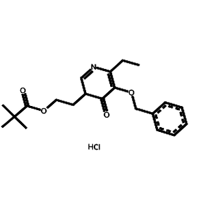 CCC1=C(OCc2ccccc2)C(=O)C(CCOC(=O)C(C)(C)C)C=N1.Cl